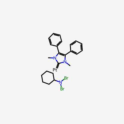 BrN(Br)C1CCCCC1.Cn1c(-c2ccccc2)c(-c2ccccc2)n(C)[c]1=[Pt]